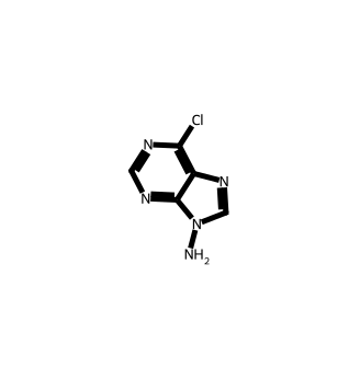 Nn1cnc2c(Cl)ncnc21